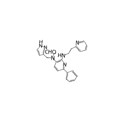 O=CN(Cc1cc[nH]n1)c1ccc(-c2ccccc2)nc1NCCc1ccccn1